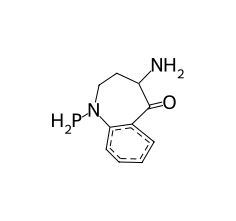 NC1CCN(P)c2ccccc2C1=O